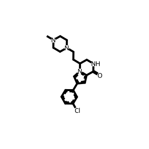 CN1CCN(CCC2CNC(=O)c3cc(-c4cccc(Cl)c4)cn32)CC1